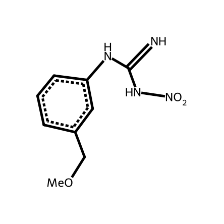 COCc1cccc(NC(=N)N[N+](=O)[O-])c1